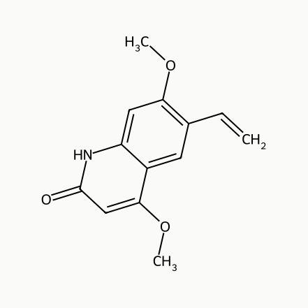 C=Cc1cc2c(OC)cc(=O)[nH]c2cc1OC